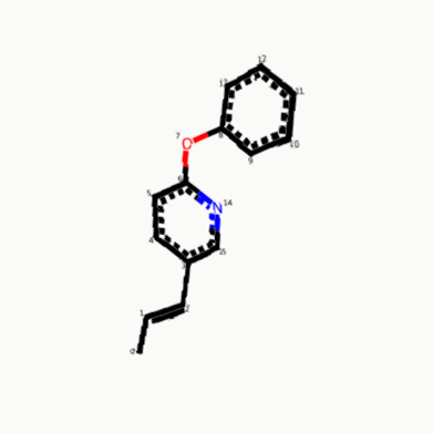 C/C=C/c1ccc(Oc2ccccc2)nc1